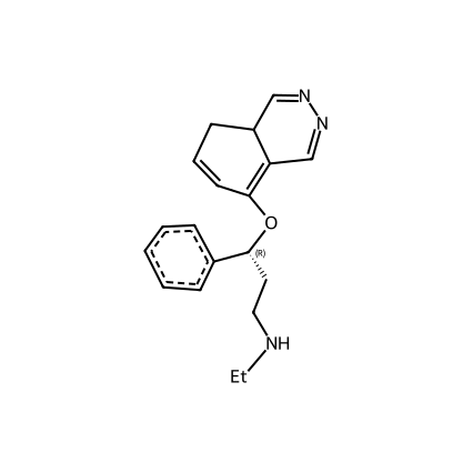 CCNCC[C@@H](OC1=C2C=NN=CC2CC=C1)c1ccccc1